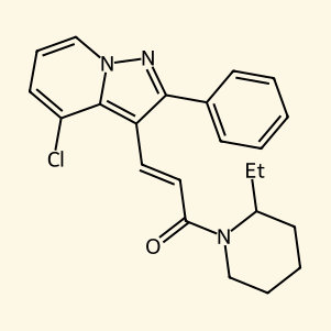 CCC1CCCCN1C(=O)/C=C/c1c(-c2ccccc2)nn2cccc(Cl)c12